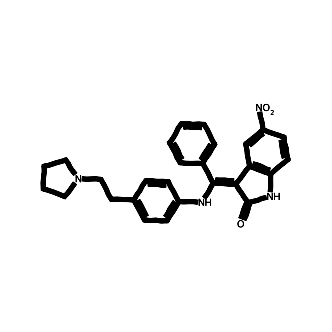 O=C1Nc2ccc([N+](=O)[O-])cc2C1=C(Nc1ccc(CCN2CCCC2)cc1)c1ccccc1